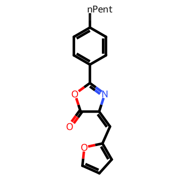 CCCCCc1ccc(C2=NC(=Cc3ccco3)C(=O)O2)cc1